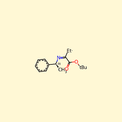 C[CH]C(=N[C@@H](C)c1ccccc1)C(=O)OC(C)(C)C